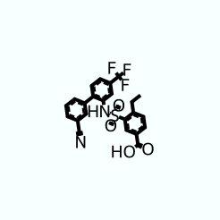 CCc1ccc(C(=O)O)cc1S(=O)(=O)Nc1cc(C(F)(F)F)ccc1-c1cccc(C#N)c1